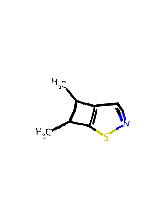 CC1c2cnsc2C1C